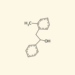 Cc1ccccc1CC(O)c1ccccc1